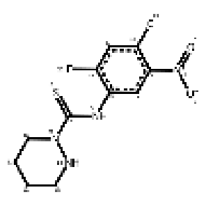 O=[N+]([O-])c1cc(NC(=S)N2CCCCN2)c(F)cc1Cl